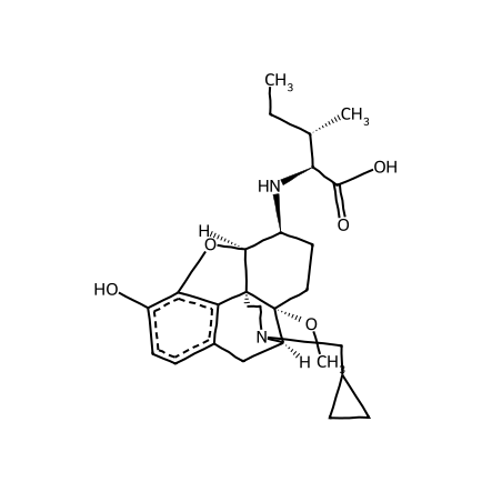 CC[C@H](C)[C@H](N[C@H]1CC[C@@]2(OC)[C@H]3Cc4ccc(O)c5c4[C@@]2(CCN3CC2CC2)[C@H]1O5)C(=O)O